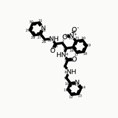 O=C(CC(NC(=O)CNCc1ccccn1)c1ccccc1[N+](=O)[O-])NCc1ccccn1